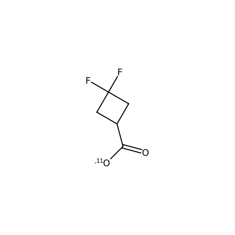 O=C([11O])C1CC(F)(F)C1